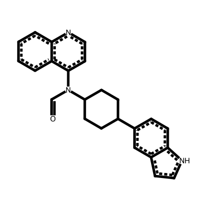 O=CN(c1ccnc2ccccc12)C1CCC(c2ccc3[nH]ccc3c2)CC1